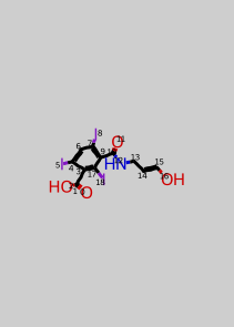 O=C(O)c1c(I)cc(I)c(C(=O)NCC=CO)c1I